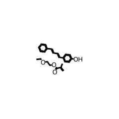 C=C(C)C(=O)OCCOCC.Oc1ccc(C=CC=Cc2ccccc2)cc1